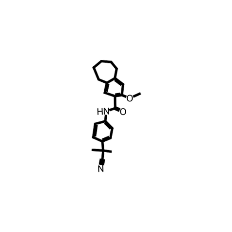 COc1cc2c(cc1C(=O)Nc1ccc(C(C)(C)C#N)cc1)CCCCC2